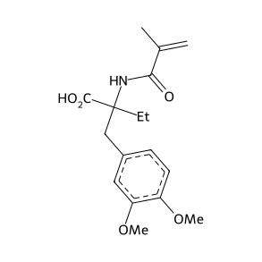 C=C(C)C(=O)NC(CC)(Cc1ccc(OC)c(OC)c1)C(=O)O